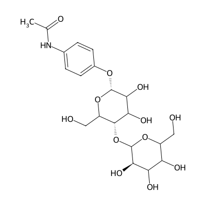 CC(=O)Nc1ccc(O[C@H]2OC(CO)[C@@H](OC3OC(CO)C(O)C(O)[C@H]3O)C(O)C2O)cc1